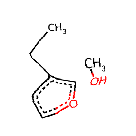 CCc1ccoc1.CO